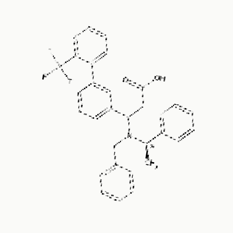 C[C@H](c1ccccc1)N(Cc1ccccc1)C(CC(=O)O)c1cccc(-c2ccccc2C(F)(F)F)c1